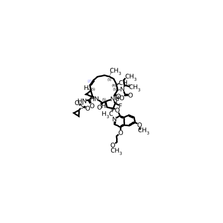 CCC(C)N(C(=O)O)[C@@H]1C(=O)N2[C@@H](C[C@@](C)(Oc3ncc(OCCOC)c4cc(OC)ccc34)C2(F)F)C(=O)N[C@]2(C(=O)NS(=O)(=O)C3CC3)C[C@H]2/C=C\CC[C@H](C)C[C@H]1C